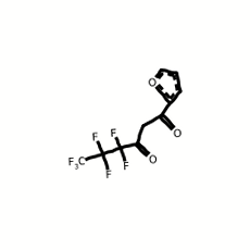 O=C(CC(=O)C(F)(F)C(F)(F)C(F)(F)F)c1ccco1